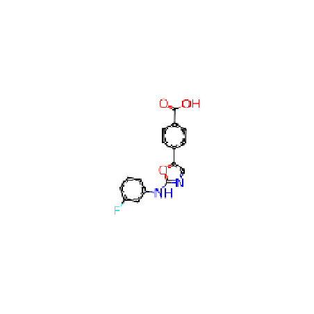 O=C(O)c1ccc(-c2cnc(Nc3cccc(F)c3)o2)cc1